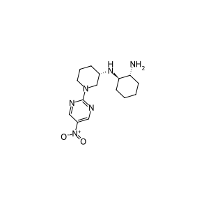 N[C@@H]1CCCC[C@H]1N[C@H]1CCCN(c2ncc([N+](=O)[O-])cn2)C1